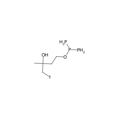 CC(O)(CI)CCOP(P)P